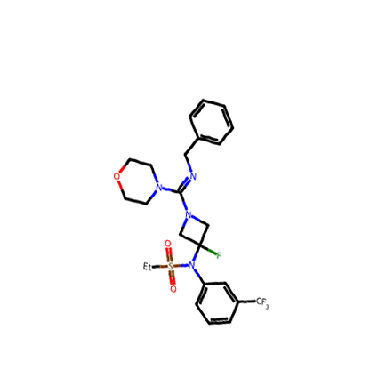 CCS(=O)(=O)N(c1cccc(C(F)(F)F)c1)C1(F)CN(C(=NCc2ccccc2)N2CCOCC2)C1